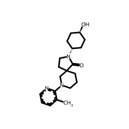 Cc1cccnc1N1CCCC2(CCN([C@H]3CC[C@H](O)CC3)C2=O)C1